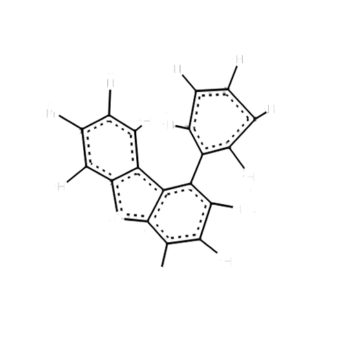 [2H]c1c([2H])c([2H])c(-c2c([2H])c([2H])c([2H])c3oc4c([2H])c(Br)c([2H])c([2H])c4c23)c([2H])c1[2H]